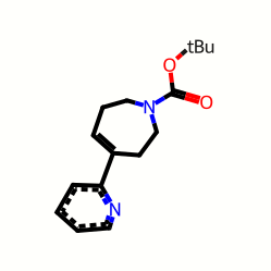 CC(C)(C)OC(=O)N1CCC=C(c2ccccn2)CC1